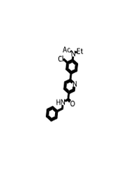 CCN(C(C)=O)c1ccc(-c2ccc(C(=O)NCc3ccccc3)cn2)cc1Cl